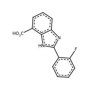 O=C(O)c1cccc2nc(-c3ccccc3F)[nH]c12